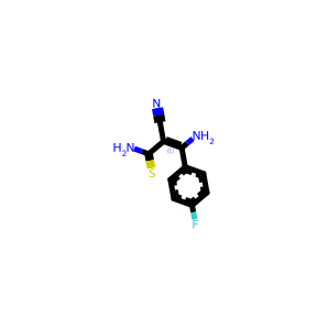 N#C/C(C(N)=S)=C(\N)c1ccc(F)cc1